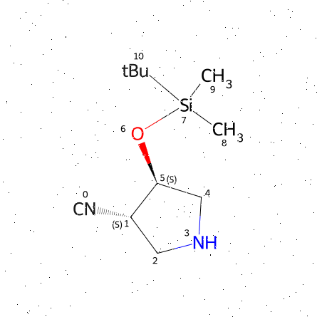 [C-]#[N+][C@H]1CNC[C@@H]1O[Si](C)(C)C(C)(C)C